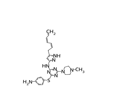 C=C/C=C\C=C/Cc1cc(Nc2nc(Sc3ccc(N)cc3)nc(N3CCN(C)CC3)n2)n[nH]1